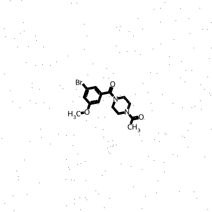 COc1cc(Br)cc(C(=O)N2CCN(C(C)=O)CC2)c1